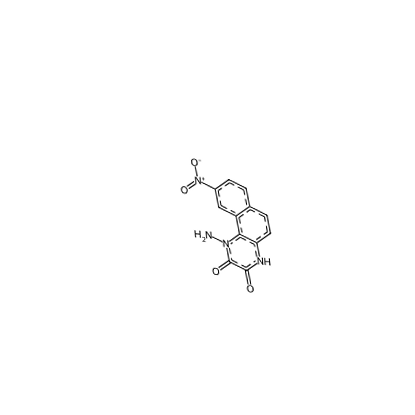 Nn1c(=O)c(=O)[nH]c2ccc3ccc([N+](=O)[O-])cc3c21